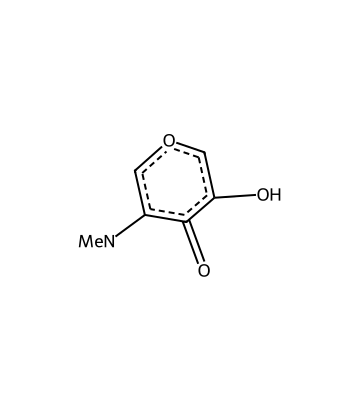 CNc1cocc(O)c1=O